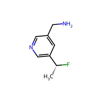 C[C@@H](F)c1cncc(CN)c1